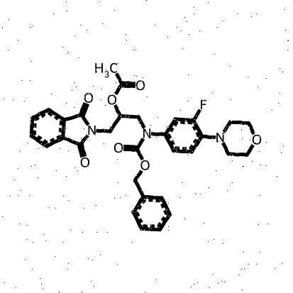 CC(=O)OC(CN1C(=O)c2ccccc2C1=O)CN(C(=O)OCc1ccccc1)c1ccc(N2CCOCC2)c(F)c1